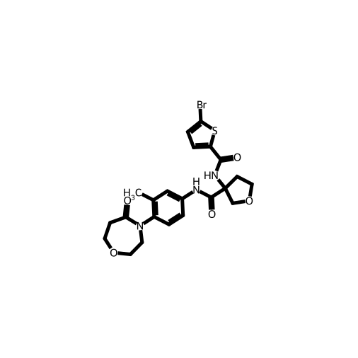 Cc1cc(NC(=O)C2(NC(=O)c3ccc(Br)s3)CCOC2)ccc1N1CCOCCC1=O